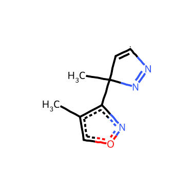 Cc1conc1C1(C)C=[C]N=N1